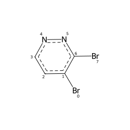 Brc1ccnnc1Br